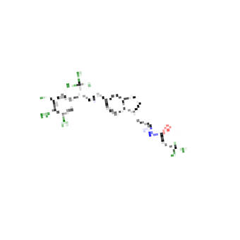 O=C(CC(F)(F)F)/N=C/CC1CCc2cc(/C=C/C(c3cc(Cl)c(Cl)c(Cl)c3)C(F)(F)F)ccc21